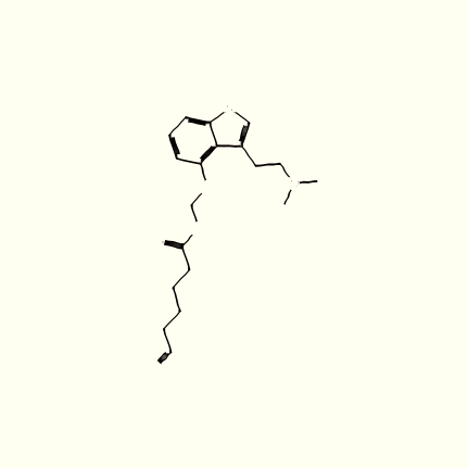 CN(C)CCc1c[nH]c2cccc(OCOC(=O)CCCCC=O)c12